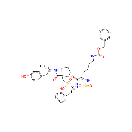 CS(=O)(=O)N[C@@H](CCCCNC(=O)OCc1ccccc1)C(=O)N[C@@H](Cc1ccccc1)P(=O)(O)CC1(C(=O)N[C@@H](Cc2ccc(O)cc2)C(=O)O)CCCC1